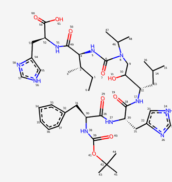 CC[C@H](C)[C@H](NC(=O)N(CC(O)[C@H](CC(C)C)NC(=O)[C@H](Cc1c[nH]cn1)NC(=O)[C@H](Cc1ccccc1)NC(=O)OC(C)(C)C)C(C)C)C(=O)N[C@@H](Cc1c[nH]cn1)C(=O)O